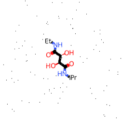 CCNC(=O)[C@H](O)[C@H](O)C(=O)NC(C)C